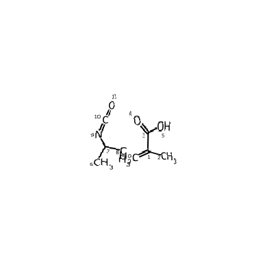 C=C(C)C(=O)O.CC(C)N=C=O